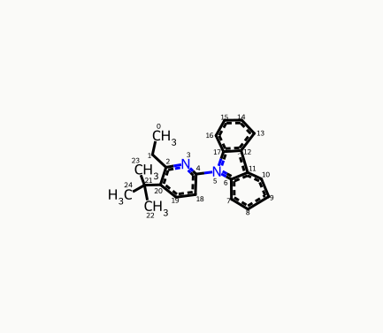 CCc1nc(-n2c3ccccc3c3ccccc32)ccc1C(C)(C)C